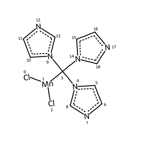 [Cl][Mn]([Cl])[C](n1ccnc1)(n1ccnc1)n1ccnc1